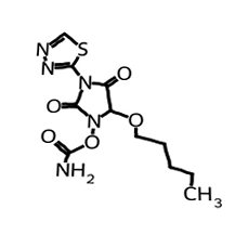 CCCCCOC1C(=O)N(c2nncs2)C(=O)N1OC(N)=O